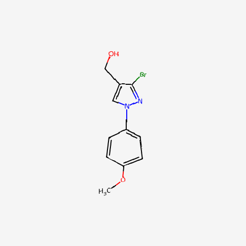 COc1ccc(-n2cc(CO)c(Br)n2)cc1